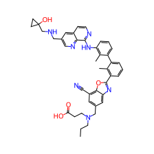 CCCN(CCC(=O)O)Cc1cc(C#N)c2oc(-c3cccc(-c4cccc(Nc5nccc6cc(CNCC7(O)CC7)cnc56)c4C)c3C)nc2c1